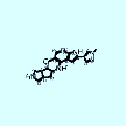 Cn1cc(-c2cc3c(NC4CC5CNCC5C4)c(Cl)cnc3[nH]2)cn1